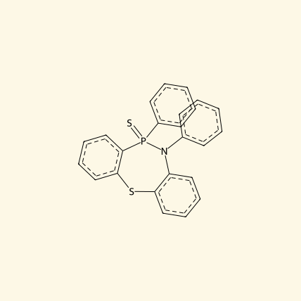 S=P1(c2ccccc2)c2ccccc2Sc2ccccc2N1c1ccccc1